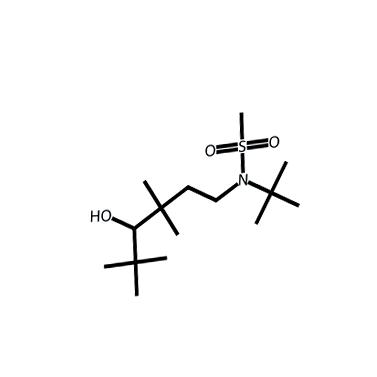 CC(C)(C)C(O)C(C)(C)CCN(C(C)(C)C)S(C)(=O)=O